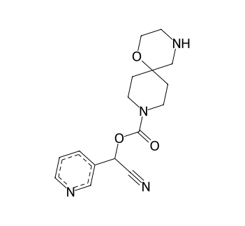 N#CC(OC(=O)N1CCC2(CC1)CNCCO2)c1cccnc1